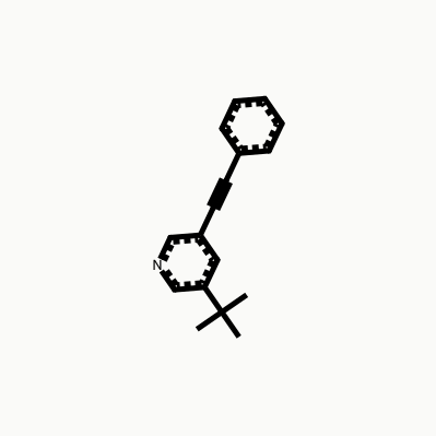 CC(C)(C)c1cncc(C#Cc2ccccc2)c1